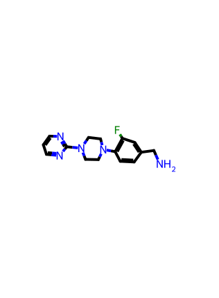 NCc1ccc(N2CCN(c3ncccn3)CC2)c(F)c1